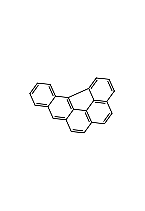 c1ccc2c3c4c(ccc5ccc6cccc-3c6c54)cc2c1